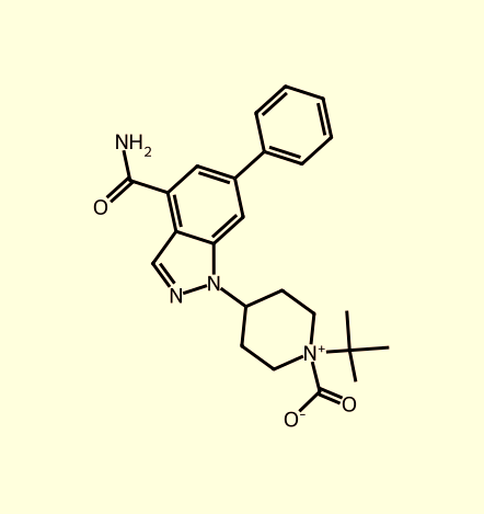 CC(C)(C)[N+]1(C(=O)[O-])CCC(n2ncc3c(C(N)=O)cc(-c4ccccc4)cc32)CC1